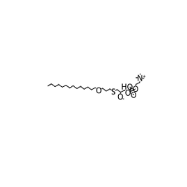 CCCCCCCCCCCCCCOCCCSCC(COP(=O)(O)OCC[N+](C)(C)C)OC